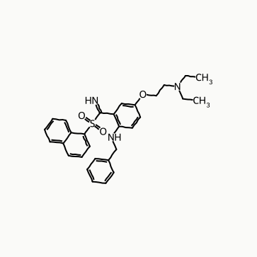 CCN(CC)CCOc1ccc(NCc2ccccc2)c(C(=N)S(=O)(=O)c2cccc3ccccc23)c1